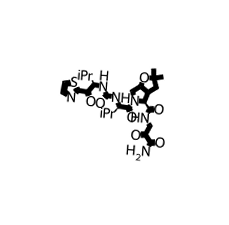 CC(C)[C@H](NC(=O)N[C@H](C(=O)N1CC2OC(C)(C)CC2[C@H]1C(=O)NCC(=O)C(N)=O)C(C)C)C(=O)c1nccs1